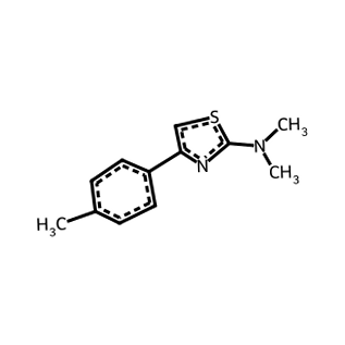 Cc1ccc(-c2csc(N(C)C)n2)cc1